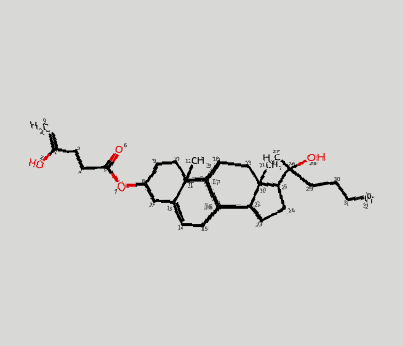 C=C(O)CCC(=O)OC1CCC2(C)C(=CCC3C2CCC2(C)C3CCC2C(C)(O)CCCC(C)C)C1